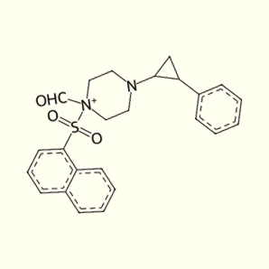 O=C[N+]1(S(=O)(=O)c2cccc3ccccc23)CCN(C2CC2c2ccccc2)CC1